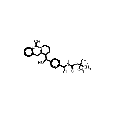 C[C@H](NC(=O)OC(C)(C)C)c1ccc(C(O)C2CCCN(C(=O)O)C2Cc2ccccc2)cc1